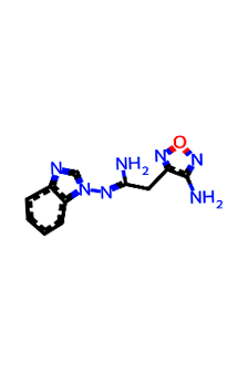 NC(Cc1nonc1N)=Nn1cnc2ccccc21